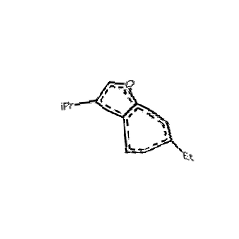 CCc1ccc2c(C(C)C)coc2c1